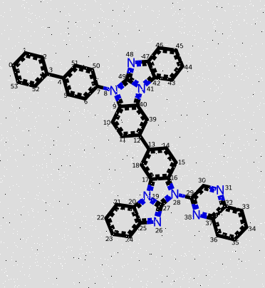 c1ccc(-c2ccc(-n3c4ccc(-c5ccc6c(c5)n5c7ccccc7nc5n6-c5cnc6ccccc6n5)cc4n4c5ccccc5nc34)cc2)cc1